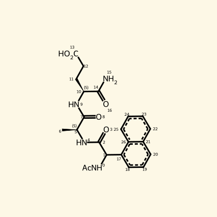 CC(=O)NC(C(=O)N[C@@H](C)C(=O)N[C@@H](CCC(=O)O)C(N)=O)c1cccc2ccccc12